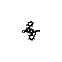 CC(O)c1nc2c(N3CCOCC3)nc(Cl)nc2n1C1CCCCO1